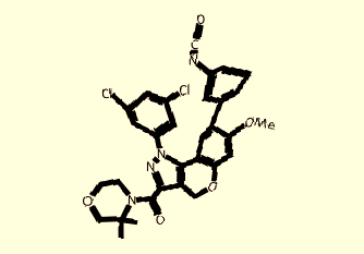 COc1cc2c(cc1-c1cccc(N=C=O)c1)-c1c(c(C(=O)N3CCOCC3(C)C)nn1-c1cc(Cl)cc(Cl)c1)CO2